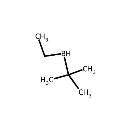 CCBC(C)(C)C